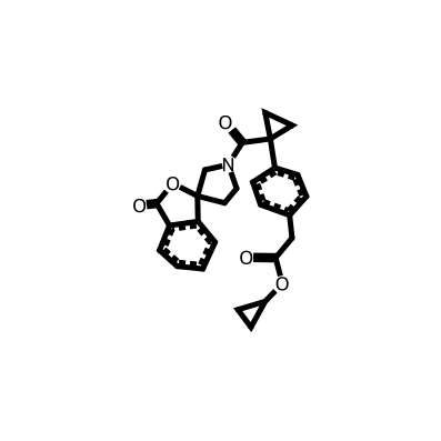 O=C(Cc1ccc(C2(C(=O)N3CCC4(C3)OC(=O)c3ccccc34)CC2)cc1)OC1CC1